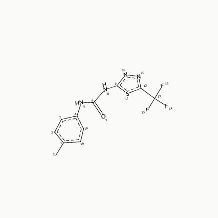 Cc1ccc(NC(=O)Nc2nnc(C(F)(F)F)s2)cc1